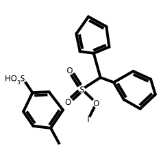 Cc1ccc(S(=O)(=O)O)cc1.O=S(=O)(OI)C(c1ccccc1)c1ccccc1